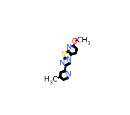 COc1ccc2c(n1)sc1nc(-c3cc(C)ccn3)cn12